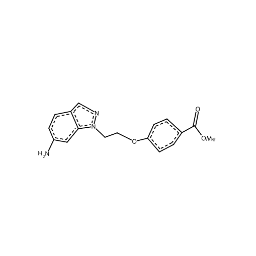 COC(=O)c1ccc(OCCn2ncc3ccc(N)cc32)cc1